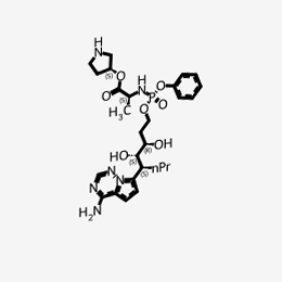 CCC[C@@H](c1ccc2c(N)ncnn12)[C@H](O)[C@H](O)CCOP(=O)(N[C@@H](C)C(=O)O[C@H]1CCNC1)Oc1ccccc1